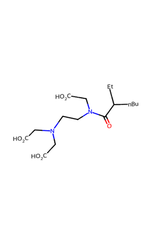 CCCCC(CC)C(=O)N(CCN(CC(=O)O)CC(=O)O)CC(=O)O